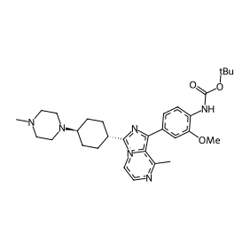 COc1cc(-c2nc([C@H]3CC[C@H](N4CCN(C)CC4)CC3)n3ccnc(C)c23)ccc1NC(=O)OC(C)(C)C